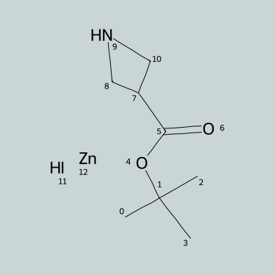 CC(C)(C)OC(=O)C1CNC1.I.[Zn]